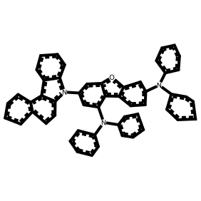 c1ccc(N(c2ccccc2)c2ccc3c(c2)oc2cc(-n4c5ccccc5c5c6ccccc6ccc54)cc(N(c4ccccc4)c4ccccc4)c23)cc1